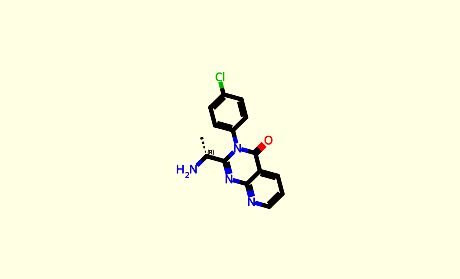 C[C@@H](N)c1nc2ncccc2c(=O)n1-c1ccc(Cl)cc1